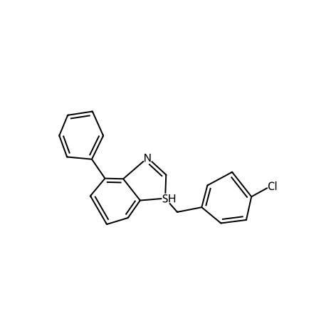 Clc1ccc(C[SH]2C=Nc3c(-c4ccccc4)cccc32)cc1